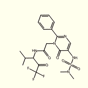 CC(C)C(NC(=O)Cn1c(-c2ccccc2)ncc(NS(=O)(=O)N(C)C)c1=O)C(=O)C(F)(F)F